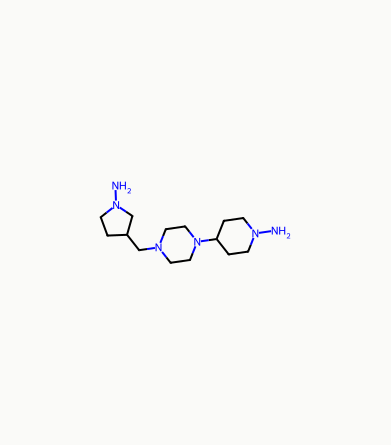 NN1CCC(N2CCN(CC3CCN(N)C3)CC2)CC1